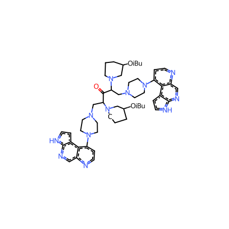 CC(C)COC1CCCN(C(CN2CCN(c3ccnc4cnc5[nH]ccc5c34)CC2)C(=O)C(CN2CCN(c3ccnc4cnc5[nH]ccc5c34)CC2)N2CCCC(OCC(C)C)C2)C1